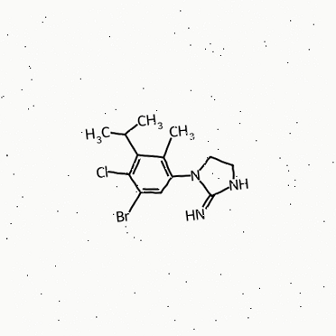 Cc1c(N2CCNC2=N)cc(Br)c(Cl)c1C(C)C